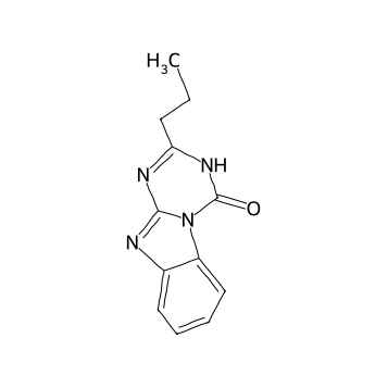 CCCc1nc2nc3ccccc3n2c(=O)[nH]1